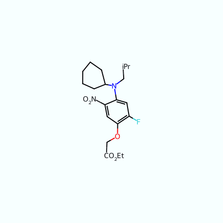 CCOC(=O)COc1cc([N+](=O)[O-])c(N(CC(C)C)C2CCCCC2)cc1F